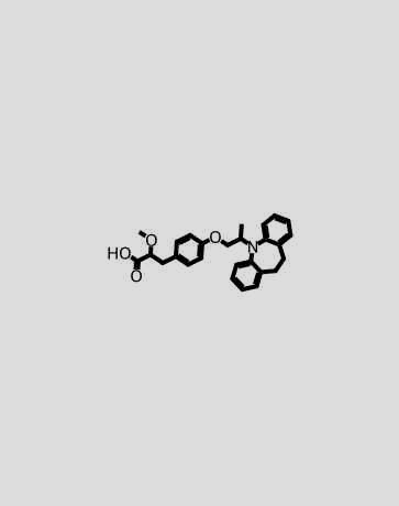 COC(Cc1ccc(OCC(C)N2c3ccccc3CCc3ccccc32)cc1)C(=O)O